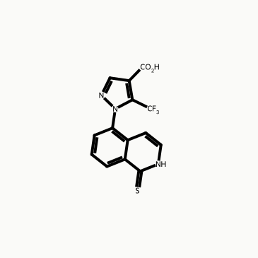 O=C(O)c1cnn(-c2cccc3c(=S)[nH]ccc23)c1C(F)(F)F